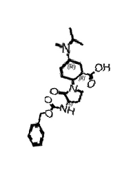 CC(C)N(C)[C@@H]1CCC(N2CC[C@H](NC(=O)OCc3ccccc3)C2=O)[C@H](C(=O)O)C1